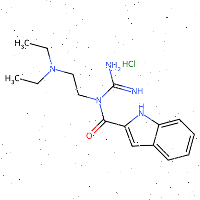 CCN(CC)CCN(C(=N)N)C(=O)c1cc2ccccc2[nH]1.Cl